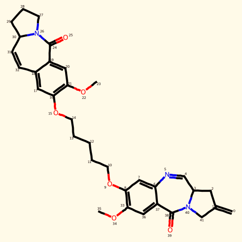 C=C1CC2C=Nc3cc(OCCCCCOc4cc5c(cc4OC)C(=O)N4CCCC4C=C5)c(OC)cc3C(=O)N2C1